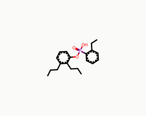 CCCc1cccc(OP(=O)(O)c2ccccc2CC)c1CCC